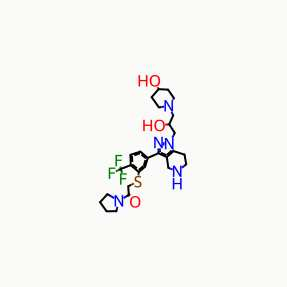 O=C(CSc1cc(-c2nn(CC(O)CN3CCC(O)CC3)c3c2CNCC3)ccc1C(F)(F)F)N1CCCC1